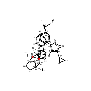 COC(=O)c1ccc(-c2csc(N3[C@@H]4CC[C@H]3CC(OCc3c(-c5ccccc5OC(F)(F)F)noc3C3CC3)C4)n2)cc1